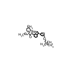 COC[C@H](C(=O)Nc1cccc2c(-c3cnn(COCC[Si](C)(C)C)c3)c[nH]c12)N1CCN(C)CC1